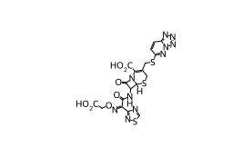 O=C(O)CO/N=C(\C(=O)NC1C(=O)N2C(C(=O)O)=C(CSc3ccc4nnnn4n3)CS[C@H]12)c1ncsn1